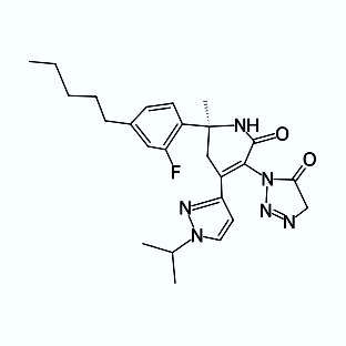 CCCCCc1ccc([C@]2(C)CC(c3ccn(C(C)C)n3)=C(N3N=NCC3=O)C(=O)N2)c(F)c1